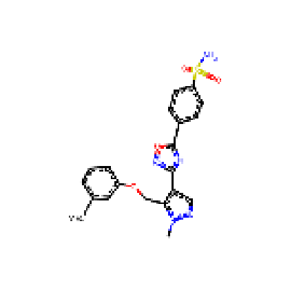 COc1cccc(OCc2c(-c3noc(-c4ccc(S(N)(=O)=O)cc4)n3)cnn2C)c1